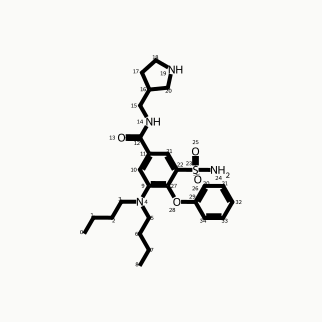 CCCCN(CCCC)c1cc(C(=O)NCC2CCNC2)cc(S(N)(=O)=O)c1Oc1ccccc1